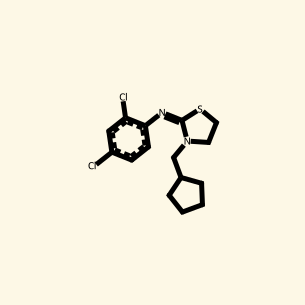 Clc1ccc(N=C2SCCN2CC2CCCC2)c(Cl)c1